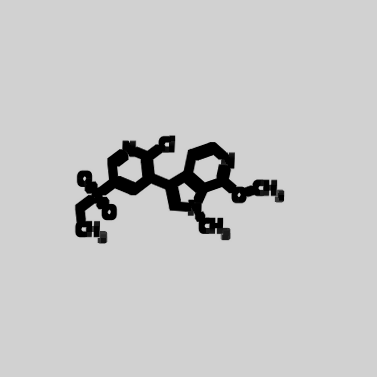 CCS(=O)(=O)c1cnc(Cl)c(-c2cn(C)c3c(OC)nccc23)c1